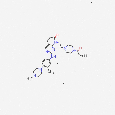 C=CC(=O)N1CCN(CCn2c(=O)ccc3cnc(Nc4ccc(N5CCN(C)CC5)c(C)c4)nc32)CC1